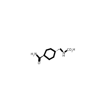 NC(=O)[C@H]1CC[C@H](CNC(=O)O)CC1